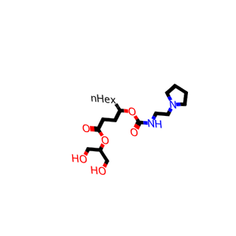 CCCCCCC(CCC(=O)OC(CO)CO)OC(=O)NCCN1CCCC1